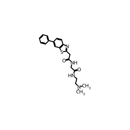 CN(C)CCNC(=O)CNC(=O)Cc1nc2ccc(-c3ccccc3)cc2s1